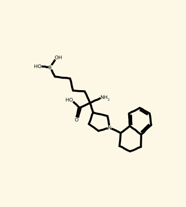 NC(CCCCB(O)O)(C(=O)O)C1CCN(C2CCCc3ccccc32)C1